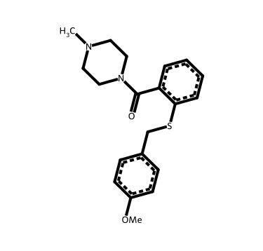 COc1ccc(CSc2ccccc2C(=O)N2CCN(C)CC2)cc1